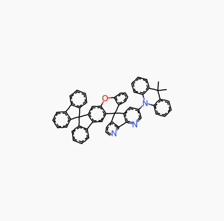 CC1(C)c2ccccc2N(c2cnc3c(c2)C2(c4ccccc4Oc4cc5c(cc42)-c2ccccc2C52c4ccccc4-c4ccccc42)c2cccnc2-3)c2ccccc21